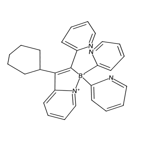 c1ccc(C2=C(C3CCCCC3)c3cccc[n+]3[B-]2(c2ccccn2)c2ccccn2)nc1